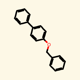 [c]1ccccc1-c1ccc(OCc2ccccc2)cc1